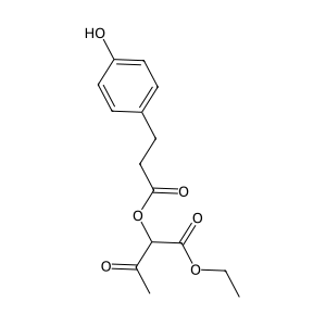 CCOC(=O)C(OC(=O)CCc1ccc(O)cc1)C(C)=O